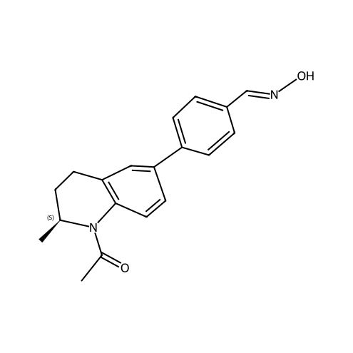 CC(=O)N1c2ccc(-c3ccc(C=NO)cc3)cc2CC[C@@H]1C